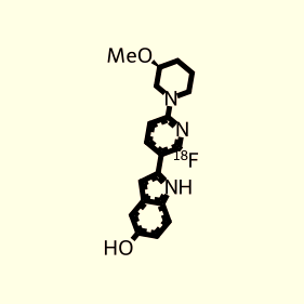 CO[C@H]1CCCN(c2ccc(-c3cc4cc(O)ccc4[nH]3)c([18F])n2)C1